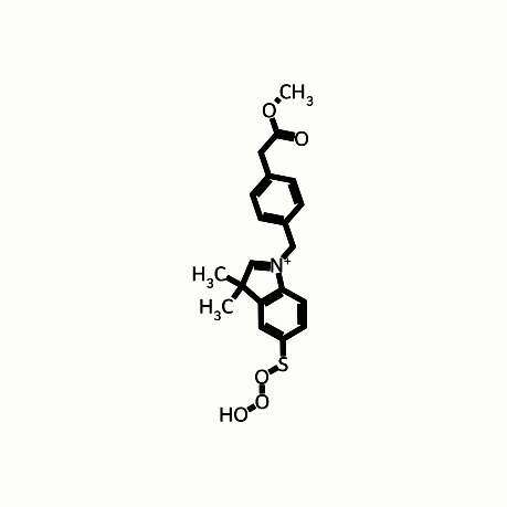 COC(=O)Cc1ccc(C[N+]2=CC(C)(C)c3cc(SOOO)ccc32)cc1